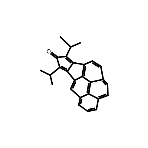 CC(C)C1=C2C(=C(C(C)C)C1=O)c1cc3cccc4ccc5ccc2c1c5c43